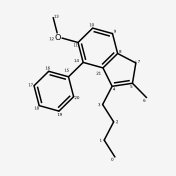 CCCCC1=C(C)[CH]c2ccc(OC)c(-c3ccccc3)c21